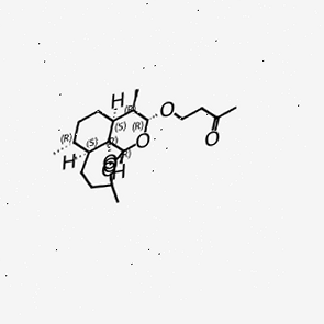 CC(=O)CCO[C@@H]1O[C@@H]2OC3(C)CC[C@H]4[C@H](C)CC[C@@H]([C@H]1C)[C@@]24OO3